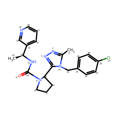 Cc1nnc(C2CCCN2C(=O)N[C@@H](C)c2cccnc2)n1Cc1ccc(Cl)cc1